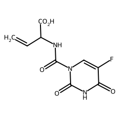 C=CC(NC(=O)n1cc(F)c(=O)[nH]c1=O)C(=O)O